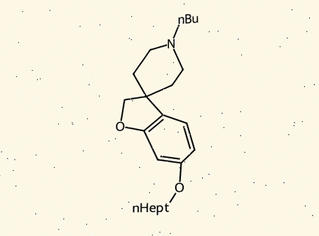 CCCCCCCOc1ccc2c(c1)OCC21CCN(CCCC)CC1